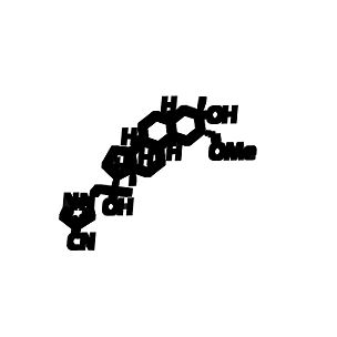 COC[C@@H]1C[C@H]2[C@H](CC[C@@H]3[C@@H]2CC[C@]2(C)[C@@H](C(C)(O)Cn4cc(C#N)cn4)CC[C@@H]32)C[C@]1(C)O